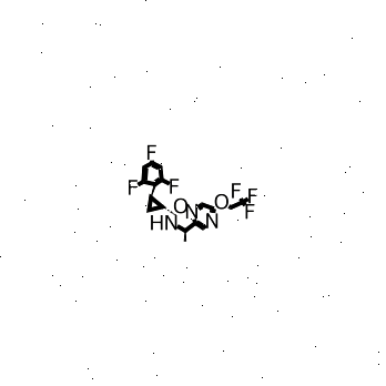 C[C@@H](NC(=O)[C@@H]1C[C@H]1c1c(F)cc(F)cc1F)c1cnc(OCC(F)(F)F)cn1